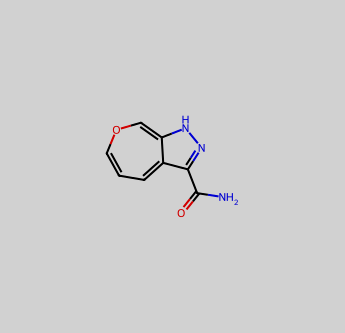 NC(=O)c1n[nH]c2c1=CC=COC=2